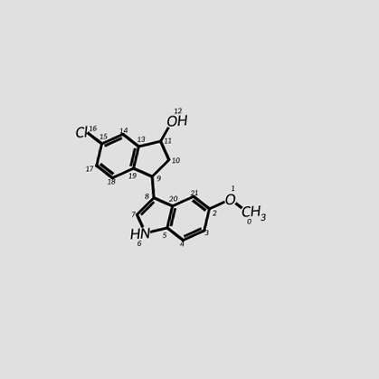 COc1ccc2[nH]cc(C3CC(O)c4cc(Cl)ccc43)c2c1